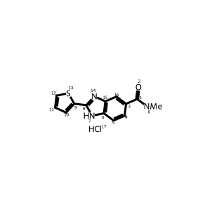 CNC(=O)c1ccc2[nH]c(-c3cccs3)nc2c1.Cl